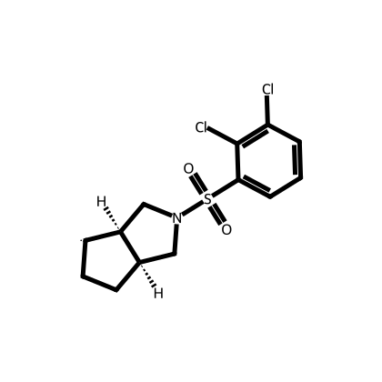 O=S(=O)(c1cccc(Cl)c1Cl)N1C[C@H]2CC[CH][C@H]2C1